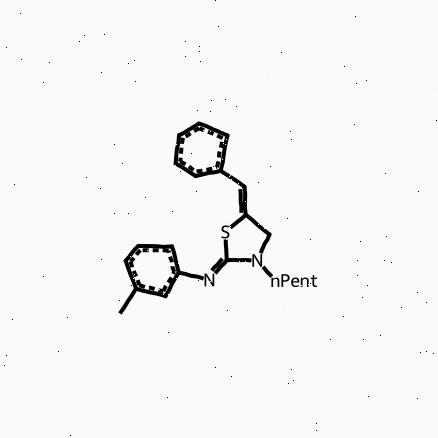 CCCCCN1CC(=Cc2ccccc2)SC1=Nc1cccc(C)c1